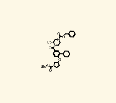 CC[C@H]1CN(C(=O)OCc2ccccc2)CCN1C(=O)c1ccc(O[C@H]2CCN(C(=O)OC(C)(C)C)C2)c(C2CCCCC2)c1